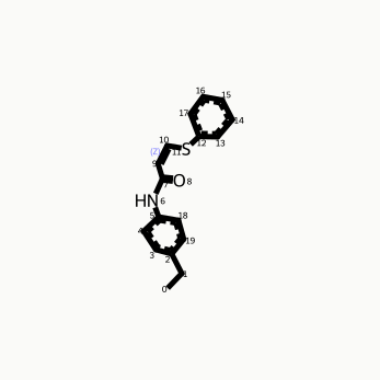 CCc1ccc(NC(=O)/C=C\Sc2ccccc2)cc1